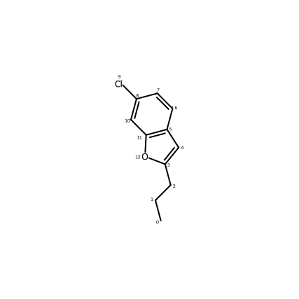 CCCc1cc2[c]cc(Cl)cc2o1